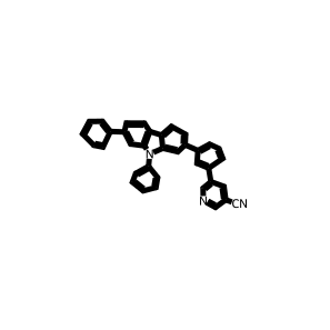 N#Cc1cncc(-c2cccc(-c3ccc4c5ccc(-c6ccccc6)cc5n(-c5ccccc5)c4c3)c2)c1